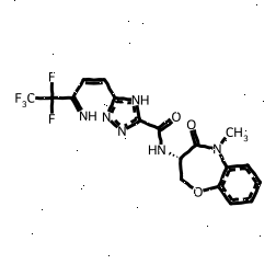 CN1C(=O)[C@@H](NC(=O)c2nnc(/C=C\C(=N)C(F)(F)C(F)(F)F)[nH]2)COc2ccccc21